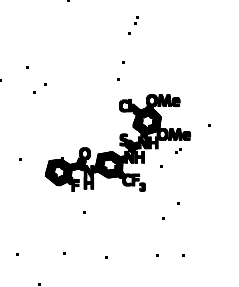 COc1cc(OC)c(NC(=S)Nc2ccc(NC(=O)c3ccccc3F)cc2C(F)(F)F)cc1Cl